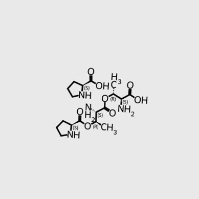 C[C@@H](OC(=O)[C@@H](N)[C@@H](C)OC(=O)[C@@H]1CCCN1)[C@H](N)C(=O)O.O=C(O)[C@@H]1CCCN1